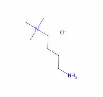 C[N+](C)(C)CCCCN.[Cl-]